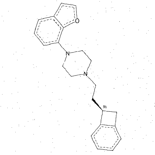 c1ccc2c(c1)C[C@@H]2CCN1CCN(c2cccc3ccoc23)CC1